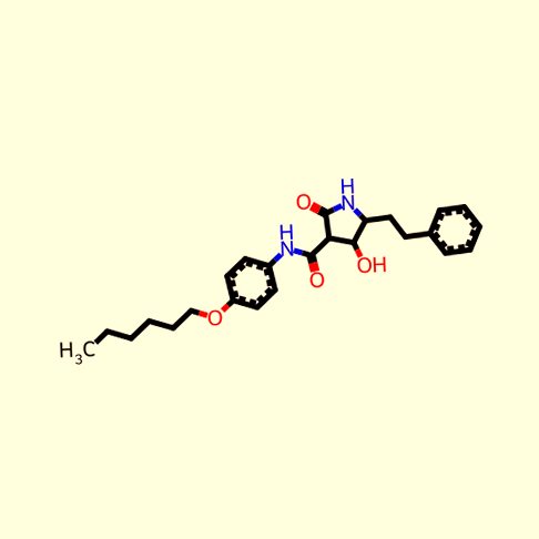 CCCCCCOc1ccc(NC(=O)C2C(=O)NC(CCc3ccccc3)C2O)cc1